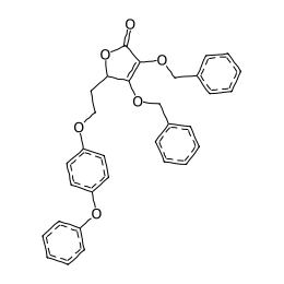 O=C1OC(CCOc2ccc(Oc3ccccc3)cc2)C(OCc2ccccc2)=C1OCc1ccccc1